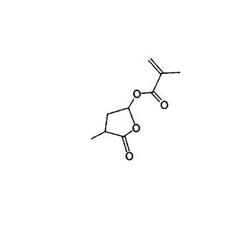 C=C(C)C(=O)OC1CC(C)C(=O)O1